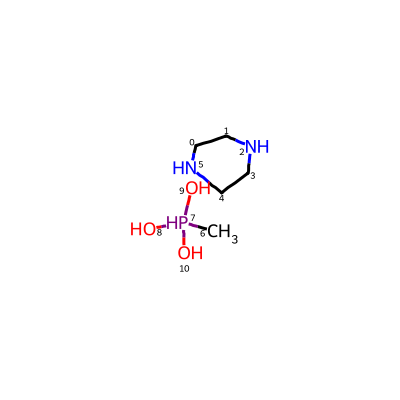 C1CNCCN1.C[PH](O)(O)O